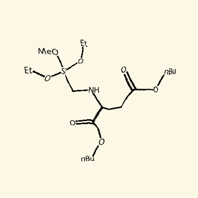 CCCCOC(=O)CC(NC[Si](OC)(OCC)OCC)C(=O)OCCCC